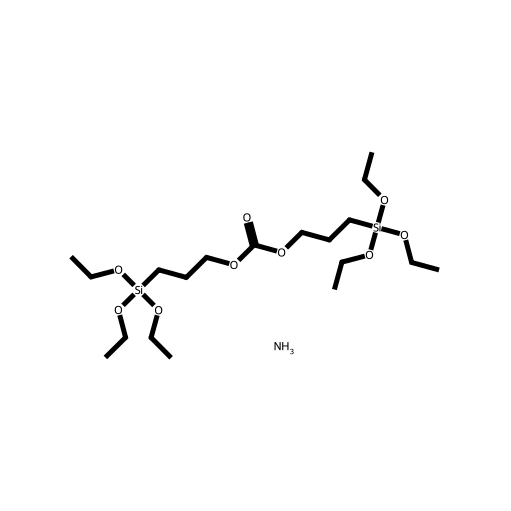 CCO[Si](CCCOC(=O)OCCC[Si](OCC)(OCC)OCC)(OCC)OCC.N